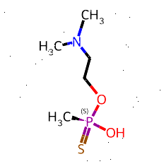 CN(C)CCO[P@](C)(O)=S